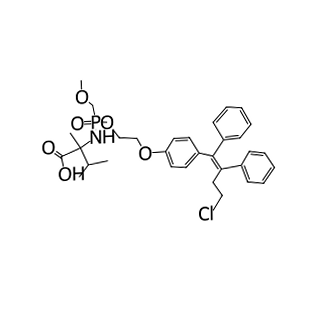 COCP(=O)(NC(C)(C(=O)O)C(C)C)OCCOc1ccc(/C(=C(\CCCl)c2ccccc2)c2ccccc2)cc1